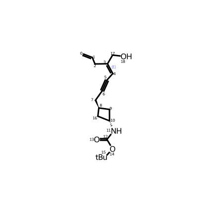 C=CC/C(=C\C#CC[C@H]1C[C@H](NC(=O)OC(C)(C)C)C1)CO